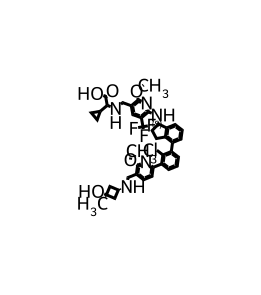 COc1nc(-c2cccc(-c3cccc4c3CC[C@@H]4Nc3nc(OC)c(CNC(C(=O)O)C4CC4)cc3C(F)(F)F)c2Cl)ccc1CN[C@H]1C[C@](C)(O)C1